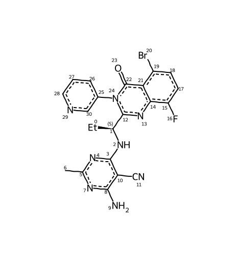 CC[C@H](Nc1nc(C)nc(N)c1C#N)c1nc2c(F)ccc(Br)c2c(=O)n1-c1cccnc1